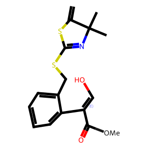 C=C1SC(SCc2ccccc2/C(=C\O)C(=O)OC)=NC1(C)C